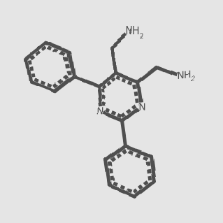 NCc1nc(-c2ccccc2)nc(-c2ccccc2)c1CN